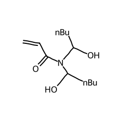 C=CC(=O)N(C(O)CCCC)C(O)CCCC